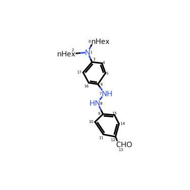 CCCCCCN(CCCCCC)c1ccc(NNc2ccc(C=O)cc2)cc1